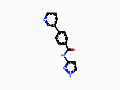 O=C(Nc1cc[nH]n1)c1ccc(-c2cccnc2)cc1